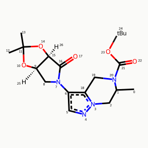 CC1Cn2ncc(N3C[C@H]4OC(C)(C)O[C@H]4C3=O)c2CN1C(=O)OC(C)(C)C